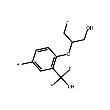 CC(F)(F)c1cc(Br)ccc1OC(CO)CF